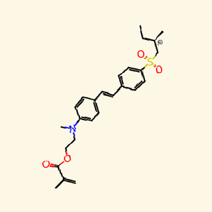 C=C(C)C(=O)OCCN(C)c1ccc(C=Cc2ccc(S(=O)(=O)C[C@H](C)CC)cc2)cc1